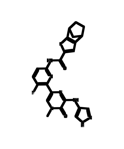 Cn1cc(-c2nc(NC(=O)c3cc4c(s3)C3CCC4C3)ccc2F)nc(Nc2cn[nH]c2)c1=O